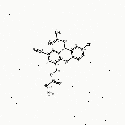 N#Cc1ccc(Sc2ccc(Cl)cc2CSC(=N)N)c(COC(=S)NN)c1